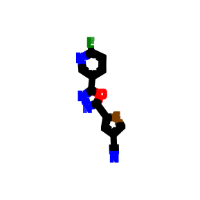 N#Cc1csc(-c2nnc(-c3ccc(F)nc3)o2)c1